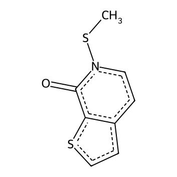 CSn1ccc2ccsc2c1=O